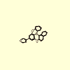 c1ccc2c(c1)Oc1cc(-c3ccncc3)cc3c1B2c1c(ccc2ccccc12)O3